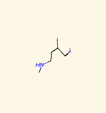 CNCCC(C)CI